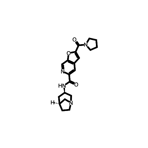 O=C(N[C@@H]1C[C@@H]2CCN(C2)C1)c1cc2cc(C(=O)N3CCCC3)oc2cn1